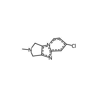 CN1Cc2nc3cc(Cl)ccn3c2C1